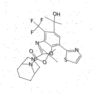 CC(C)(C)OC(=O)N1C2CCCC1CN(c1nc3c(C(F)(F)F)c(C(C)(C)O)cc(-c4nccs4)c3o1)C2